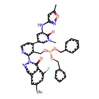 Cc1cc(Nc2cc(-c3ccnc(-n4ncc5cc(C(C)(C)C)cc(F)c5c4=O)c3COP(OCc3ccccc3)OCc3ccccc3)cn(C)c2=O)no1